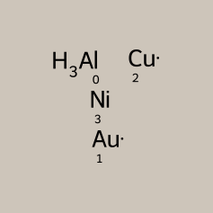 [AlH3].[Au].[Cu].[Ni]